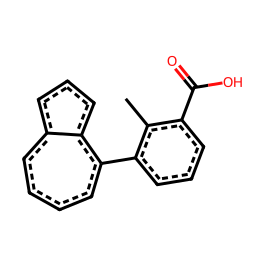 Cc1c(C(=O)O)cccc1-c1ccccc2cccc1-2